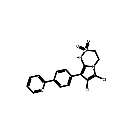 O=S1(=O)CCn2c(Cl)c(Cl)c(-c3ccc(-c4ccccn4)cc3)c2N1